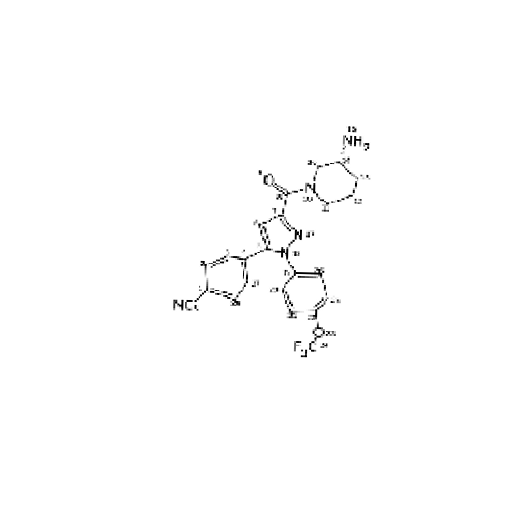 N#Cc1ccc(-c2cc(C(=O)N3CCC[C@@H](N)C3)nn2-c2ccc(OC(F)(F)F)cc2)cc1